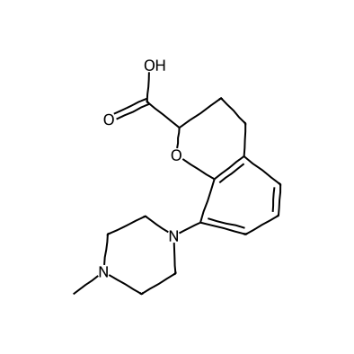 CN1CCN(c2cccc3c2OC(C(=O)O)CC3)CC1